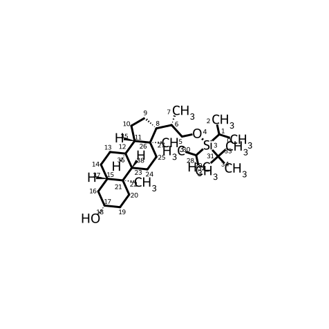 CC(C)[Si](OC[C@@H](C)[C@H]1CC[C@H]2[C@@H]3CC[C@H]4C[C@@H](O)CC[C@]4(C)[C@H]3CC[C@]12C)(C(C)C)C(C)(C)C